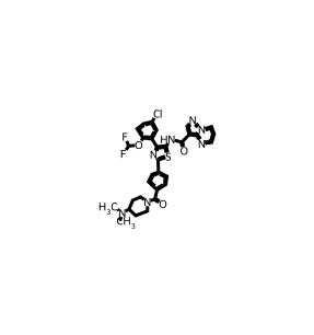 CN(C)C1CCN(C(=O)c2ccc(-c3nc(-c4cc(Cl)ccc4OC(F)F)c(NC(=O)c4cnn5cccnc45)s3)cc2)CC1